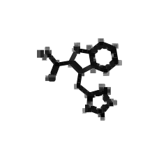 NC(=O)C1=C(Cc2nnn[nH]2)c2ccccc2[N]1